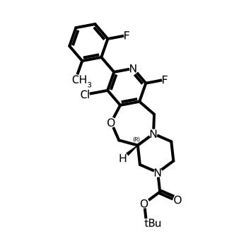 Cc1cccc(F)c1-c1nc(F)c2c(c1Cl)OC[C@H]1CN(C(=O)OC(C)(C)C)CCN1C2